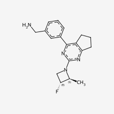 C[C@H]1[C@H](F)CN1c1nc2c(c(-c3cccc(CN)c3)n1)CCC2